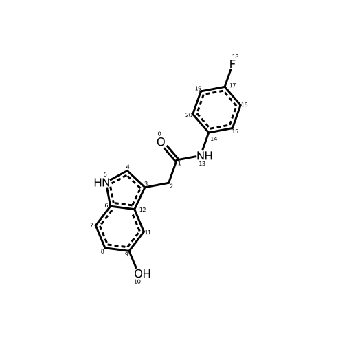 O=C(Cc1c[nH]c2ccc(O)cc12)Nc1ccc(F)cc1